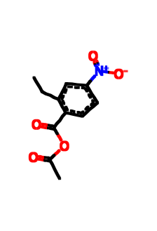 CCc1cc([N+](=O)[O-])ccc1C(=O)OC(C)=O